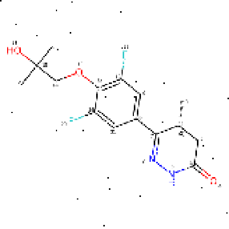 C[C@@H]1CC(=O)NN=C1c1cc(F)c(OCC(C)(C)O)c(F)c1